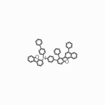 c1ccc(-c2ccc(N(c3ccc(-c4ccc5oc6c7ccccc7c(-c7ccccc7)cc6c5c4-c4ccccc4)cc3)c3cccc4c3oc3ccccc34)cc2)cc1